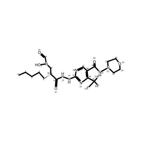 CCCCC[C@H](CN(O)C=O)C(=O)NNc1ncc(C(=O)NN2CCOCC2)c(C(F)(F)F)n1